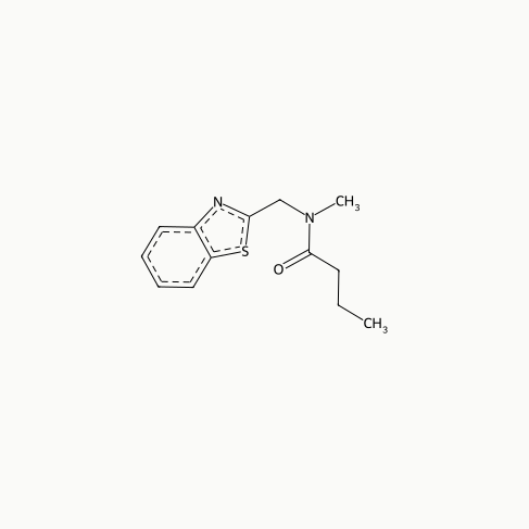 CCCC(=O)N(C)Cc1nc2ccccc2s1